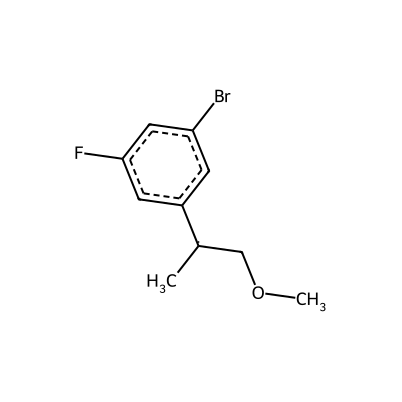 COC[C](C)c1cc(F)cc(Br)c1